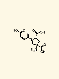 N[C@]1(C(=O)O)C[C@@H](C(=O)O)N(C(=O)/C=C\C(=O)O)C1